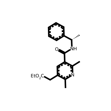 CCOC(=O)Cc1cc(C(=O)N[C@@H](C)c2ccccc2)c(C)nc1C